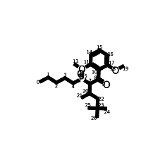 CCCCC[P](=O)C(C(=O)c1c(OC)cccc1OC)C(C)CC(C)(C)C